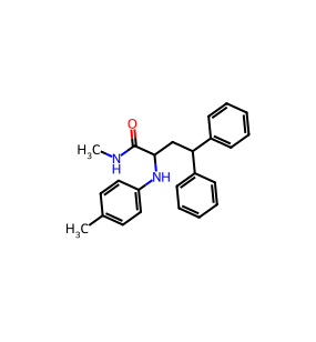 CNC(=O)C(CC(c1ccccc1)c1ccccc1)Nc1ccc(C)cc1